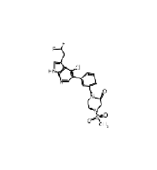 CS(=O)(=O)N1CCN(c2cccc(-c3cnc4[nH]cc(CC(F)F)c4c3Cl)c2)C(=O)C1